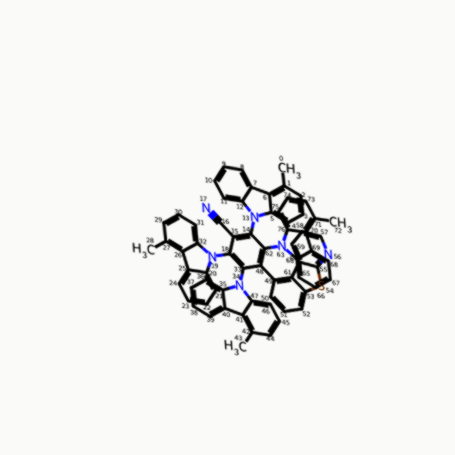 Cc1cccc2c1c1ccccc1n2-c1c(C#N)c(-n2c3ccccc3c3c(C)cccc32)c(-n2c3ccccc3c3c(C)cccc32)c(-c2cccc3sc4ncccc4c23)c1-n1c2ccccc2c2c(C)cccc21